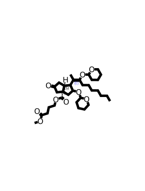 CCCCCCC/C(OC1CCCCO1)=C(/C)C1C(OC2CCCCO2)C[C@@]2(C(=O)OCCCC(=O)OC)CC(=O)C[C@@H]12